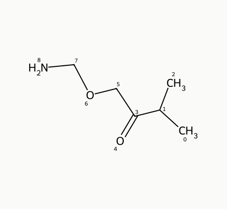 CC(C)C(=O)COCN